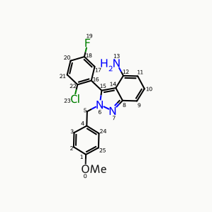 COc1ccc(Cn2nc3cccc(N)c3c2-c2cc(F)ccc2Cl)cc1